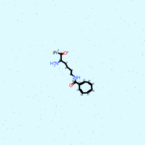 CC(C)C(=O)C(N)CCCCNC(=O)C1=C/C=C\C=C/C=C\1